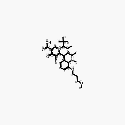 CCC(C)/C(=C1/C=CC=C(OCCCOC)C1NC)c1c(F)c(=O)c(C(=O)O)cn1C(CC)C(C)(C)C